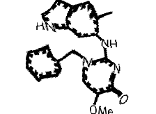 COc1cn(Cc2ccccc2)c(Nc2cc3[nH]ccc3cc2C)nc1=O